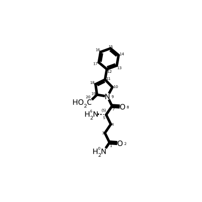 NC(=O)CC[C@H](N)C(=O)N1CC(c2ccccc2)=CC1C(=O)O